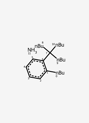 CCCCc1ccccc1C(CCCC)(CCCC)CCCC.N